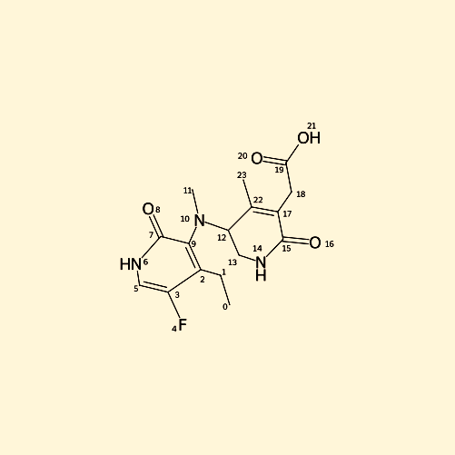 CCc1c(F)c[nH]c(=O)c1N(C)C1CNC(=O)C(CC(=O)O)=C1C